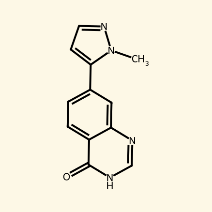 Cn1nccc1-c1ccc2c(=O)[nH]cnc2c1